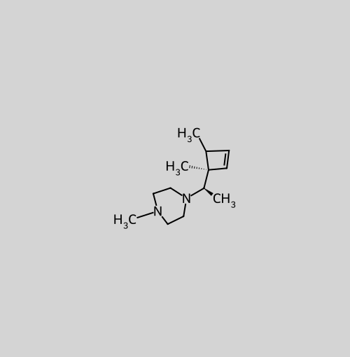 CC1C=C[C@@]1(C)[C@@H](C)N1CCN(C)CC1